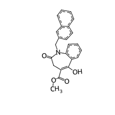 COC(=O)C1=C(O)c2ccccc2N(Cc2ccc3ccccc3c2)C(=O)C1